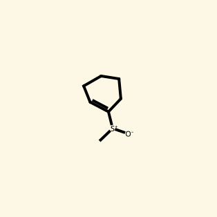 C[S+]([O-])C1=CCCCC1